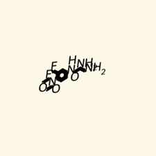 NC[C@@H](N)C(=O)Nc1ccc(N2CCOCC2=O)c(C(F)F)c1